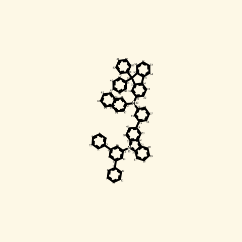 c1ccc(-c2cc(-c3ccccc3)cc(-n3c4ccccc4c4cc(-c5cccc(N(c6ccc7c(c6)C(c6ccccc6)(c6ccccc6)c6ccccc6-7)c6ccc7ccccc7c6)c5)ccc43)c2)cc1